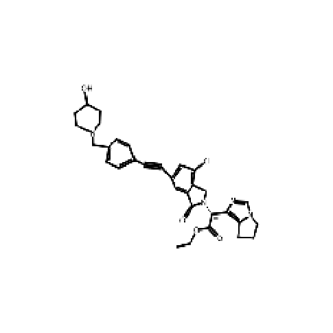 CCOC(=O)[C@@H](c1ncn2c1CCC2)N1Cc2c(Cl)cc(C#Cc3ccc(CN4CCC(O)CC4)cc3)cc2C1=O